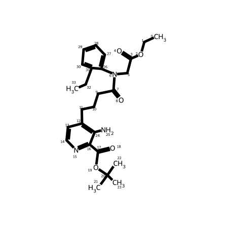 CCOC(=O)CN(C(=O)CCCc1ccnc(C(=O)OC(C)(C)C)c1N)c1ccccc1CC